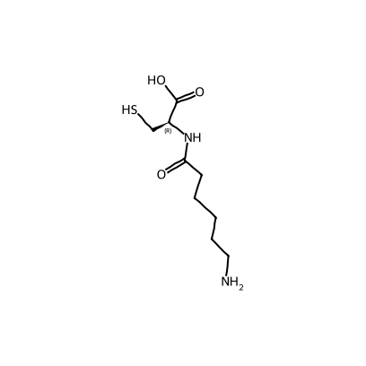 NCCCCCC(=O)N[C@@H](CS)C(=O)O